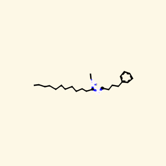 CCCCCCCCCCCc1nc(CCCc2ccccc2)cn1CC